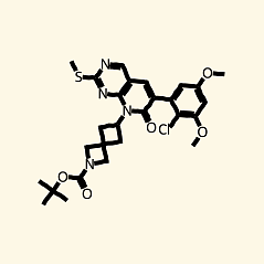 COc1cc(OC)c(Cl)c(-c2cc3cnc(SC)nc3n(C3CC4(C3)CN(C(=O)OC(C)(C)C)C4)c2=O)c1